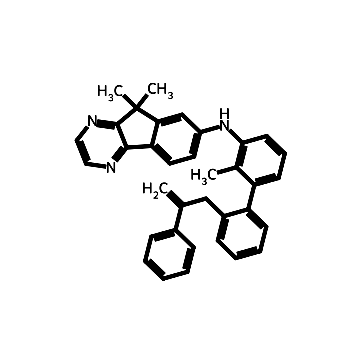 C=C(Cc1ccccc1-c1cccc(Nc2ccc3c(c2)C(C)(C)c2nccnc2-3)c1C)c1ccccc1